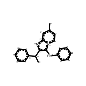 Cc1ccn2c(Nc3ccccc3)c(C(C)c3ccccc3)nc2c1